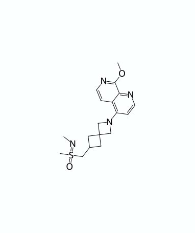 CN=S(C)(=O)CC1CC2(C1)CN(c1ccnc3c(OC)nccc13)C2